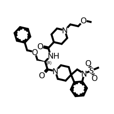 COCCN1CCC(C(=O)N[C@H](COCc2ccccc2)C(=O)N2CCC3(CC2)CN(S(C)(=O)=O)c2ccccc23)CC1